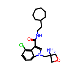 NC1(Cn2cc(C(=O)NCCC3CCCCCC3)c3c(Cl)cccc32)COC1